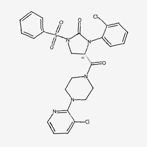 O=C([C@@H]1CN(S(=O)(=O)c2ccccc2)C(=O)N1c1ccccc1Cl)N1CCN(c2ncccc2Cl)CC1